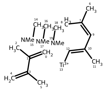 C=C(C)C(=C)C.CC(C)=CC(C)=[CH][Ti+3].C[N-]C.C[N-]C.C[N-]C